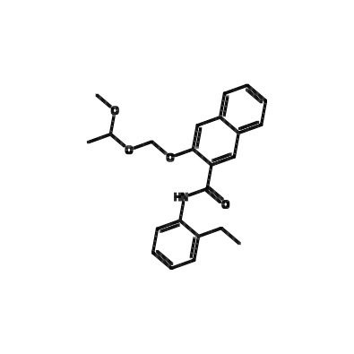 CCc1ccccc1NC(=O)c1cc2ccccc2cc1OCOC(C)OC